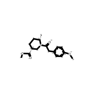 COC(=O)[C@@H]1CC[C@H](C)N(C(=O)Cc2ccc(OC)cc2)C1